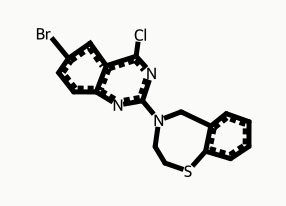 Clc1nc(N2CCSc3ccccc3C2)nc2ccc(Br)cc12